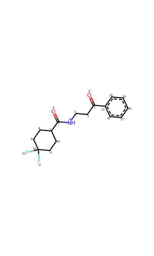 O=C(CCNC(=O)C1CCC(F)(F)CC1)c1ccccc1